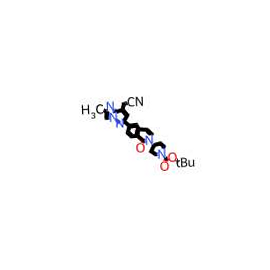 Cc1cn2nc(-c3ccc4c(=O)n(C5CCN(C(=O)OC(C)(C)C)CC5)ccc4c3)cc(CC#N)c2n1